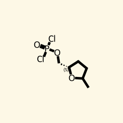 CC1CC[C@@H](COP(=O)(Cl)Cl)O1